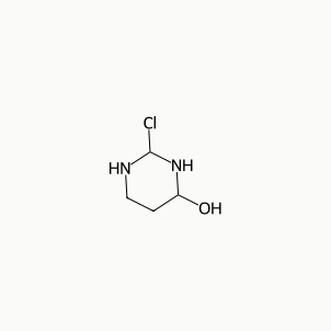 OC1CCNC(Cl)N1